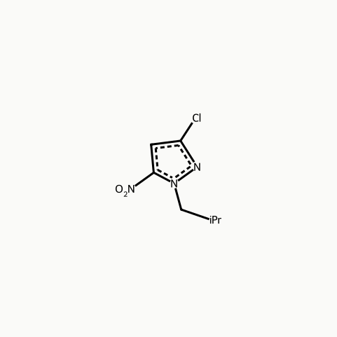 CC(C)Cn1nc(Cl)cc1[N+](=O)[O-]